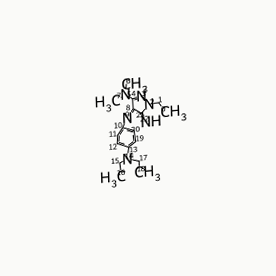 CCN1N=C(N(C)C)C(=Nc2ccc(N(CC)CC)cc2)C1=N